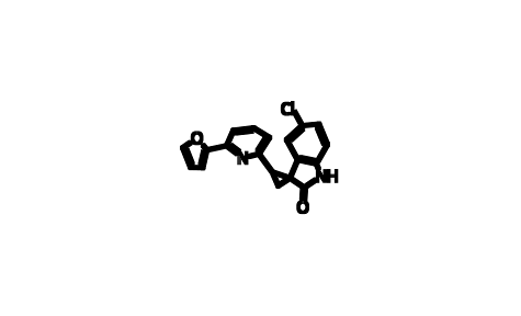 O=C1Nc2ccc(Cl)cc2C12CC2c1cccc(-c2ccco2)n1